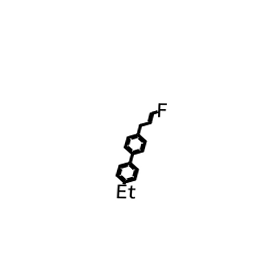 CCc1ccc(-c2ccc(C/C=C/F)cc2)cc1